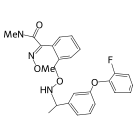 CNC(=O)/C(=N/OC)c1ccccc1CONC(C)c1cccc(Oc2ccccc2F)c1